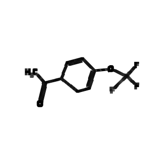 CC(=O)C1C=CC(OC(F)(F)F)=CC1